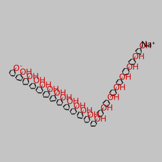 Oc1ccccc1.Oc1ccccc1.Oc1ccccc1.Oc1ccccc1.Oc1ccccc1.Oc1ccccc1.Oc1ccccc1.Oc1ccccc1.Oc1ccccc1.Oc1ccccc1.Oc1ccccc1.Oc1ccccc1.Oc1ccccc1.Oc1ccccc1.Oc1ccccc1.Oc1ccccc1.Oc1ccccc1.Oc1ccccc1.Oc1ccccc1.[Na+].[O-]c1ccccc1